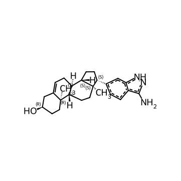 C[C@]12CC[C@H]3[C@@H](CC=C4C[C@H](O)CC[C@@]43C)[C@@H]1CC[C@@H]2c1ccc2c(N)n[nH]c2c1